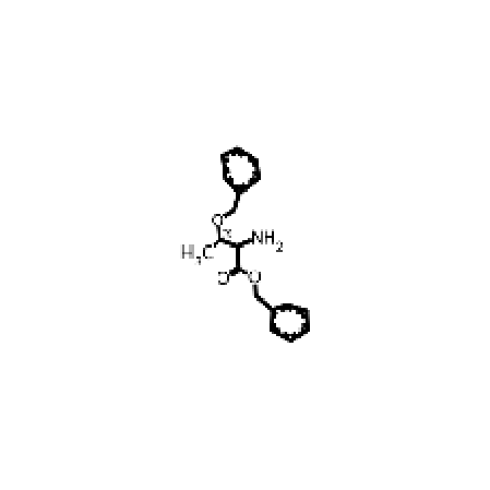 C[C@@H](OCc1ccccc1)C(N)C(=O)OCc1ccccc1